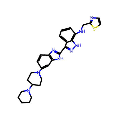 c1cc(NCc2nccs2)c2[nH]nc(-c3nc4ccc(N5CCC(N6CCCCC6)CC5)cc4[nH]3)c2c1